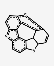 C1=CC2Sc3ccc4sc5ccc6sc1c1c6c5c4c3C12